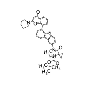 CN(C(=O)C1(NC(=O)OC(C)(C)C)CC1)c1ccc2sc3c(-c4cccc5c(=O)cc(N6CCCCC6)oc45)cccc3c2c1